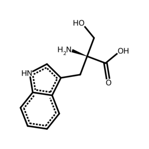 N[C@](CO)(Cc1c[nH]c2ccccc12)C(=O)O